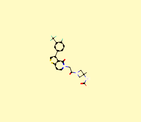 CC1(NC(=O)O)CN(C(=O)Cn2ccc3scc(-c4ccc(F)c(C(F)(F)F)c4)c3c2=O)C1